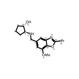 COc1cc(CN[C@H]2CCC[C@@H]2O)cc2nc(C(C)C)oc12